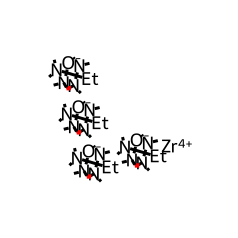 CCC(N(C)C)(N(C)C)C([O-])(N(C)C)N(C)C.CCC(N(C)C)(N(C)C)C([O-])(N(C)C)N(C)C.CCC(N(C)C)(N(C)C)C([O-])(N(C)C)N(C)C.CCC(N(C)C)(N(C)C)C([O-])(N(C)C)N(C)C.[Zr+4]